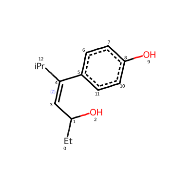 CCC(O)/C=C(\c1ccc(O)cc1)C(C)C